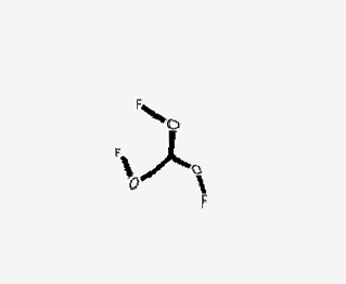 FOC(OF)OF